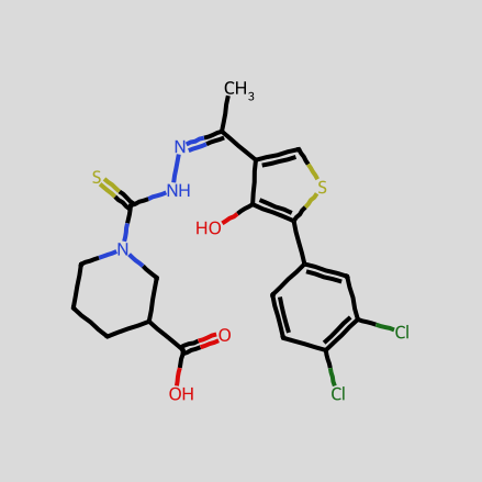 C/C(=N/NC(=S)N1CCCC(C(=O)O)C1)c1csc(-c2ccc(Cl)c(Cl)c2)c1O